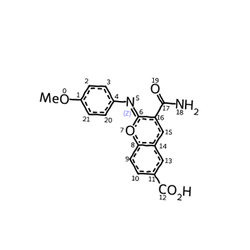 COc1ccc(/N=c2\oc3ccc(C(=O)O)cc3cc2C(N)=O)cc1